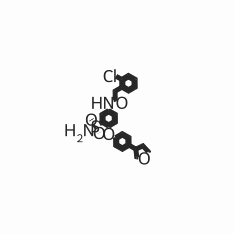 NS(=O)(=O)c1cc(NC(=O)Cc2ccccc2Cl)ccc1Oc1ccc(C2CCOC2)cc1